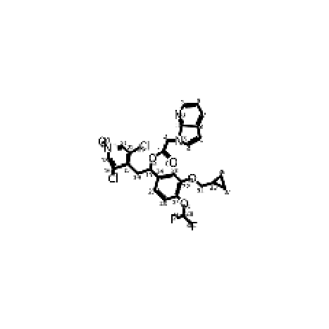 O=C(Cn1ccc2cccnc21)OC(Cc1c(Cl)c[n+]([O-])cc1Cl)c1ccc(OC(F)F)c(OCC2CC2)c1